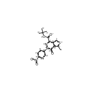 Cc1scc2c(C(=O)OC(C)(C)C)nn(-c3ccc([N+](=O)[O-])nc3)c(=O)c12